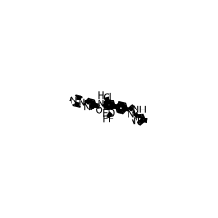 CC1CC(c2nc(-c3ccc(-c4cc(Cl)c(NC(=O)c5ccc(N6CCN(C)CC6)nc5)cc4OC(F)(F)F)cc3)c[nH]2)N(C)C1